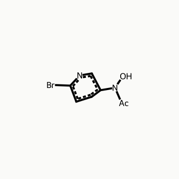 CC(=O)N(O)c1ccc(Br)nc1